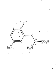 N[C@@H](Cc1cc(O)ccc1F)C(=O)O